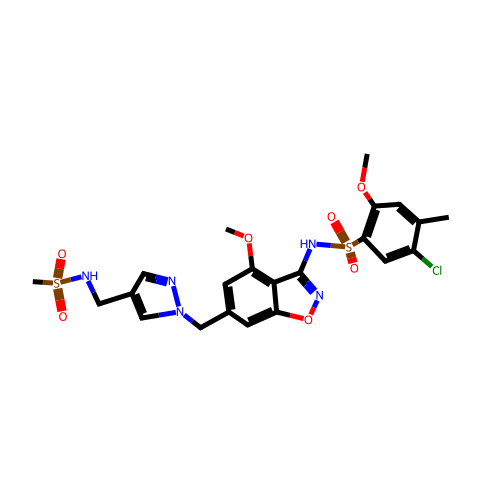 COc1cc(C)c(Cl)cc1S(=O)(=O)Nc1noc2cc(Cn3cc(CNS(C)(=O)=O)cn3)cc(OC)c12